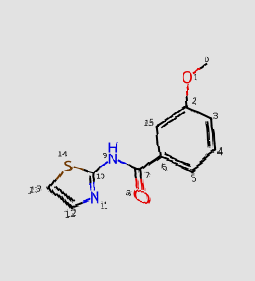 COc1cccc(C(=O)Nc2nccs2)c1